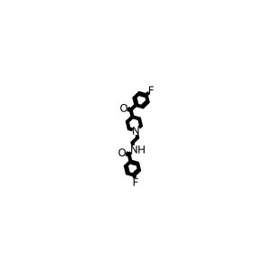 O=C(NCCN1CCC(C(=O)c2ccc(F)cc2)CC1)c1ccc(F)cc1